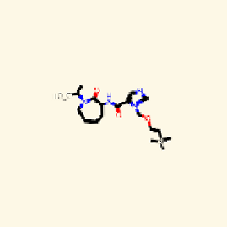 CC(C(=O)O)N1CCCC[C@H](NC(=O)c2cncn2COCC[Si](C)(C)C)C1=O